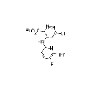 CCOC(=O)c1nnc(Cl)cc1Nc1ccc(F)c(C(C)C)n1